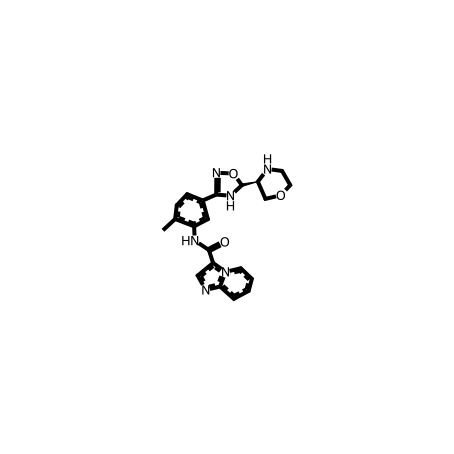 Cc1ccc(C2=NOC([C@@H]3COCCN3)N2)cc1NC(=O)c1cnc2ccccn12